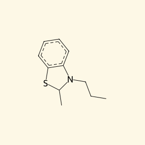 CCCN1c2ccccc2SC1C